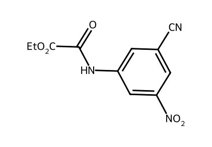 CCOC(=O)C(=O)Nc1cc(C#N)cc([N+](=O)[O-])c1